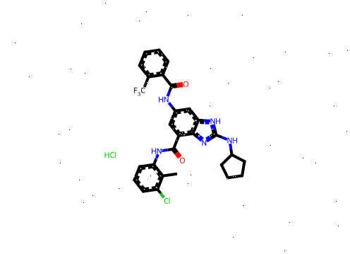 Cc1c(Cl)cccc1NC(=O)c1cc(NC(=O)c2ccccc2C(F)(F)F)cc2[nH]c(NC3CCCC3)nc12.Cl